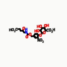 O=C(O)CCC(=O)CNC(=O)OCc1ccc(O[C@@H]2O[C@H](C(=O)O)[C@@H](O)[C@H](O)[C@H]2O)c([N+](=O)[O-])c1